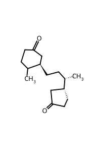 CC1CCC(=O)C[C@H]1CC[C@H](C)[C@@H]1CCC(=O)C1